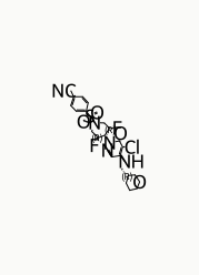 N#Cc1ccc(S(=O)(=O)N2C[C@@H](F)C(n3ncc(NC[C@H]4CCCOC4)c(Cl)c3=O)[C@H](F)C2)cc1